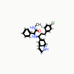 CNC(=O)C(NC(CCc1ccc(Cl)cc1)c1ccc2[nH]ccc2c1)c1ccccc1